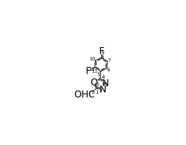 O=Cc1nnc(-c2ccc(F)cc2F)o1